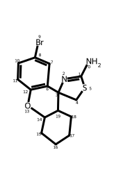 NC1=NC2(CS1)c1cc(Br)ccc1OC1CCCCC12